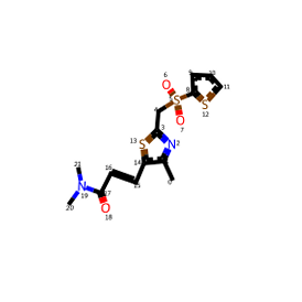 Cc1nc(CS(=O)(=O)c2cccs2)sc1C=CC(=O)N(C)C